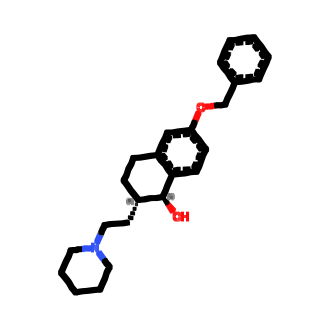 O[C@@H]1c2ccc(OCc3ccccc3)cc2CC[C@H]1CCN1CCCCC1